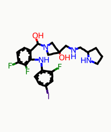 OC(c1ccc(F)c(F)c1Nc1ccc(I)cc1F)N1CC(O)(CNCC2CCCN2)C1